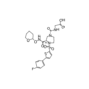 O=C(O)CNC(=O)N1CCN(S(=O)(=O)c2ccc(-c3ccc(F)cc3)s2)[C@@H](C(=O)NOC2CCCCO2)C1